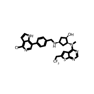 CN(c1ncnc2sc(CC(F)(F)F)cc12)[C@H]1C[C@@H](NCc2ccc(-c3cnc(Cl)c4cc[nH]c34)cc2)C[C@H]1O